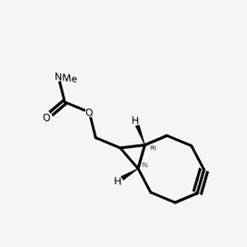 CNC(=O)OCC1[C@H]2CCC#CCC[C@@H]12